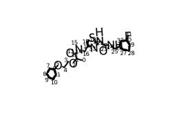 CC(OCCOc1ccccc1)C(=O)N(C)Cc1csc(NC(=O)NCc2cccc(F)c2)n1